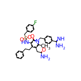 Cc1c(CC(N)=O)c(CCc2ccccc2)c(NS(=O)(=O)Cc2ccc(F)cc2)c(=O)n1Cc1ccc(C(=N)N)cc1